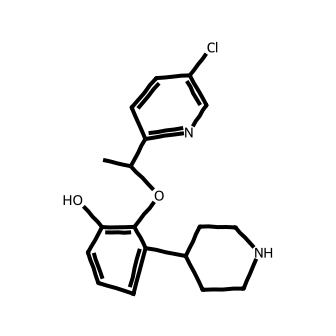 CC(Oc1c(O)cccc1C1CCNCC1)c1ccc(Cl)cn1